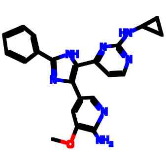 COc1cc(-c2nc(-c3ccccc3)[nH]c2-c2ccnc(NC3CC3)n2)cnc1N